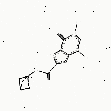 Cn1cc(Br)c2cc(C(=O)NC34CC(C3)C4)[nH]c2c1=O